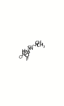 CN(C)CCC1CSC(c2cc3cc(F)cc(NC4CCCC4)c3[nH]2)=N1